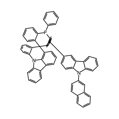 c1ccc(P2c3ccccc3C3(c4ccccc4-n4c5ccccc5c5cccc3c54)c3cc(-c4ccc5c(c4)c4ccccc4n5-c4ccc5ccccc5c4)ccc32)cc1